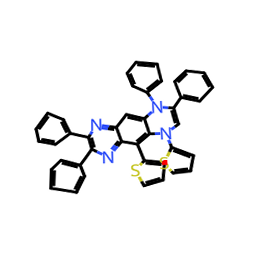 C1=C(c2ccccc2)N(c2ccccc2)c2cc3nc(-c4ccccc4)c(-c4ccccc4)nc3c(-c3cccs3)c2N1c1cccs1